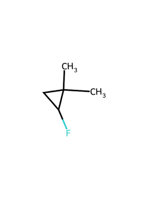 CC1(C)CC1F